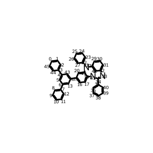 c1ccc(-c2cc(-c3ccccc3)cc(-c3ccc4c(c3)N(c3ccccc3)c3cccc5nc(-c6ccccc6)n-4c35)c2)cc1